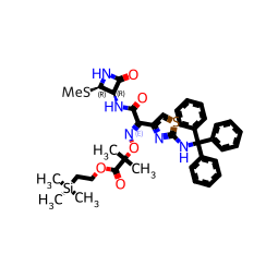 CS[C@H]1NC(=O)[C@H]1NC(=O)/C(=N/OC(C)(C)C(=O)OCC[Si](C)(C)C)c1csc(NC(c2ccccc2)(c2ccccc2)c2ccccc2)n1